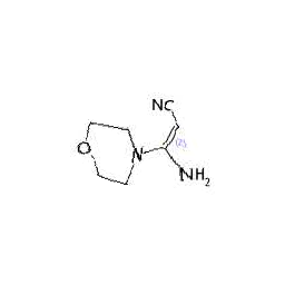 N#C/C=C(/N)N1CCOCC1